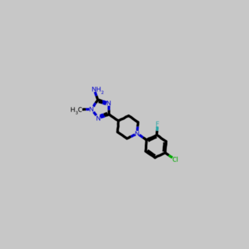 Cn1nc(C2CCN(c3ccc(Cl)cc3F)CC2)nc1N